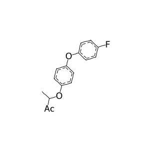 CC(=O)C(C)Oc1ccc(Oc2ccc(F)cc2)cc1